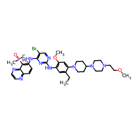 CCc1cc(Nc2ncc(Br)c(Nc3ccc4nccnc4c3P(C)(C)=O)n2)c(OC)cc1N1CCC(N2CCN(CCOC)CC2)CC1